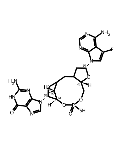 Nc1nc2c(ncn2[C@@H]2OC3CC4C[C@H](n5cc(F)c6c(N)ncnc65)O[C@@H]4COP(=O)(S)O[C@@H]2[C@@H]3F)c(=O)[nH]1